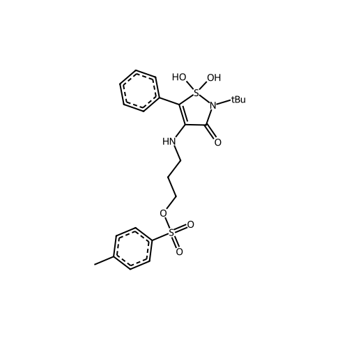 Cc1ccc(S(=O)(=O)OCCCNC2=C(c3ccccc3)S(O)(O)N(C(C)(C)C)C2=O)cc1